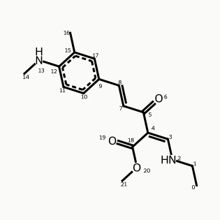 CCN/C=C(/C(=O)/C=C/c1ccc(NC)c(C)c1)C(=O)OC